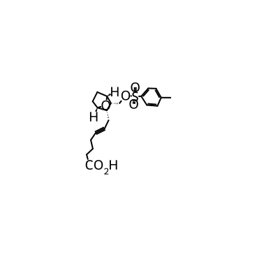 Cc1ccc(S(=O)(=O)OC[C@@H]2[C@H](CC#CCCCC(=O)O)[C@@H]3CC[C@H]2O3)cc1